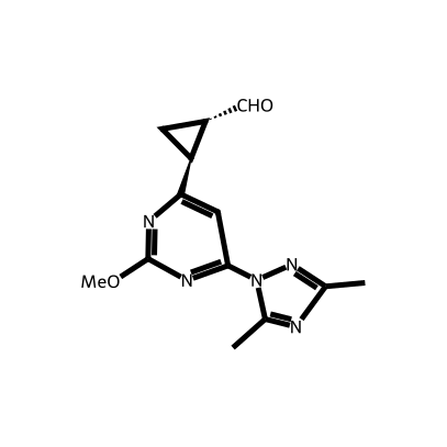 COc1nc([C@H]2C[C@@H]2C=O)cc(-n2nc(C)nc2C)n1